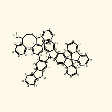 OC1CCC2c3ccccc3-c3cc(-c4cc5c(cc4-n4c6ccccc6c6cc7c(cc64)-c4ccccc4C74c6ccccc6-c6ccccc64)sc4ccccc45)cc(c32)-c2ccccc21